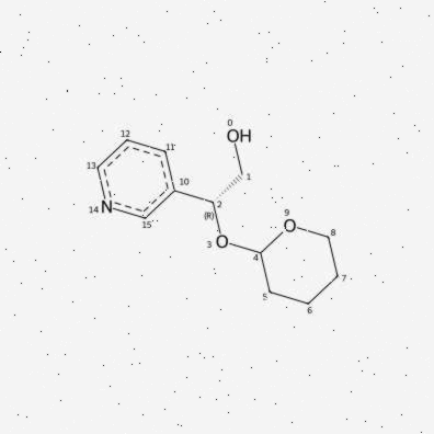 OC[C@H](OC1CCCCO1)c1cccnc1